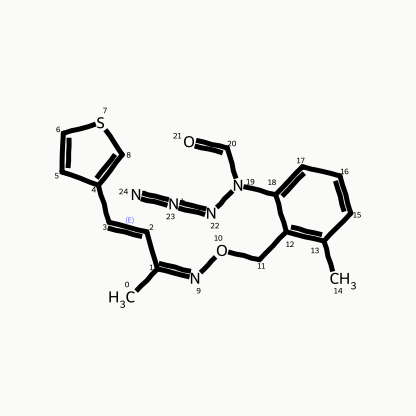 CC(/C=C/c1ccsc1)=NOCc1c(C)cccc1N(C=O)N=[N+]=[N-]